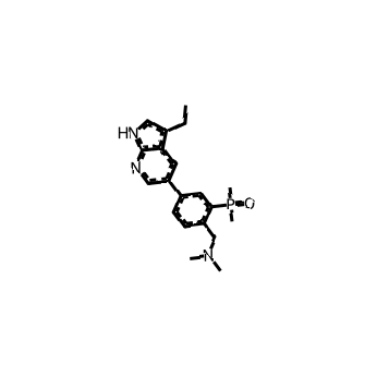 CCc1c[nH]c2ncc(-c3ccc(CN(C)C)c(P(C)(C)=O)c3)cc12